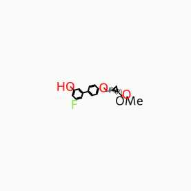 COC(=O)[C@@H]1C[C@H]1COc1ccc(-c2cc(O)cc(F)c2)cc1